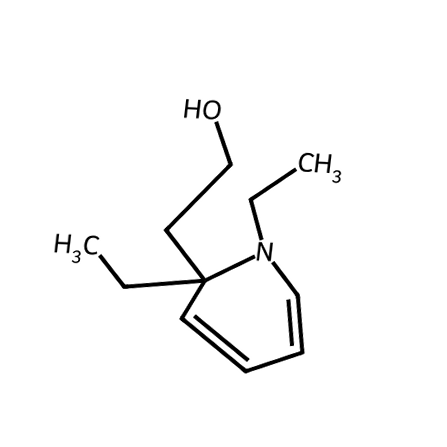 CCN1C=CC=CC1(CC)CCO